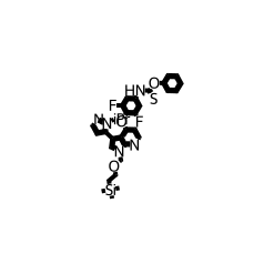 CC(C)n1nccc1-c1cn(COCC[Si](C)(C)C)c2nccc(Oc3c(F)cc(NC(=S)Oc4ccccc4)cc3F)c12